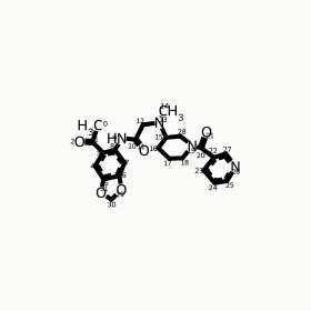 CC(=O)c1cc2c(cc1NC(=O)CN(C)C1CCCN(C(=O)c3cccnc3)C1)OCO2